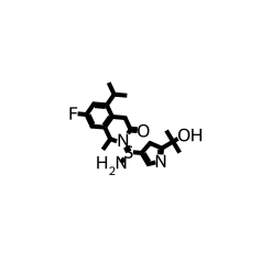 CC(C)c1cc(F)cc(C(C)C)c1CC(=O)/N=S(/N)C1=CN=C(C(C)(C)O)C1